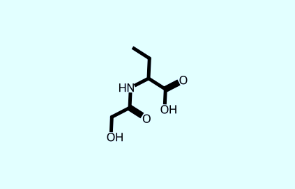 CCC(NC(=O)CO)C(=O)O